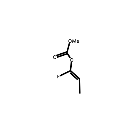 CC=C(F)OC(=O)OC